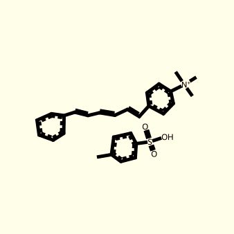 C[N+](C)(C)c1ccc(C=CC=CC=Cc2ccccc2)cc1.Cc1ccc(S(=O)(=O)O)cc1